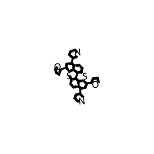 c1cncc(-c2cc(-c3ccco3)c3sc4ccc5c(-c6cccnc6)cc(-c6ccco6)c6sc7ccc2c3c7-c4c56)c1